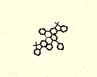 CC1(C)c2ccccc2-c2ccc(-c3ccccc3N(c3ccc4c(c3)C(C)(C)c3ccccc3-4)c3cccc(-c4ccccc4)c3-c3ccccc3)cc21